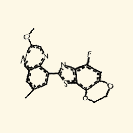 COc1cnc2c(-c3nc4c(F)cc5c(c4s3)OCCO5)cc(C)cc2n1